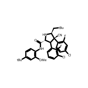 COc1cc(C(C)(C)C)ccc1NC(=O)[C@@H]1N[C@@H](CC(C)(C)C)[C@](C#N)(c2ccc(Cl)cc2F)C1c1cccc(Cl)c1F